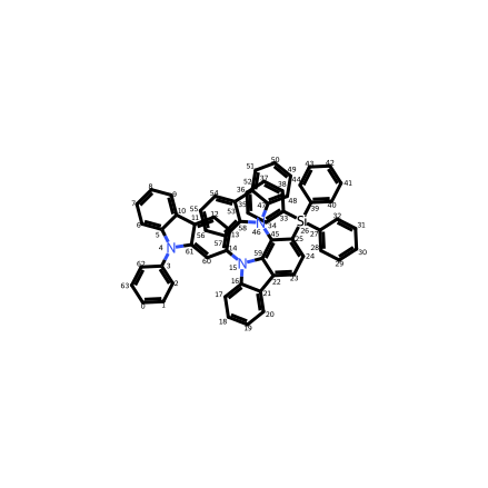 c1ccc(-n2c3ccccc3c3ccc(-n4c5ccccc5c5ccc([Si](c6ccccc6)(c6ccccc6)c6ccccc6)c(-n6c7ccccc7c7ccccc76)c54)cc32)cc1